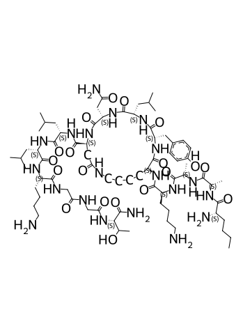 CCCC[C@H](N)C(=O)N[C@@H](C)C(=O)N[C@@H](C)C(=O)N[C@@H](CCCCN)C(=O)N[C@H]1CCCCNC(=O)C[C@@H](C(=O)N[C@@H](CC(C)C)C(=O)N[C@@H](CC(C)C)C(=O)N[C@@H](CCCCN)C(=O)NCC(=O)NCC(=O)N[C@H](C(N)=O)C(C)O)NC(=O)[C@H](CC(N)=O)NC(=O)[C@H](CC(C)C)NC(=O)[C@H](Cc2ccc(O)cc2)NC1=O